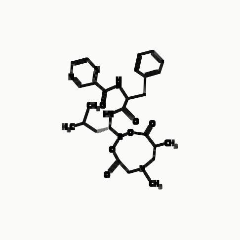 CC(C)C[C@H](NC(=O)C(Cc1ccccc1)NC(=O)c1cnccn1)B1OC(=O)CN(C)CC(C)C(=O)O1